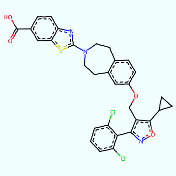 O=C(O)c1ccc2nc(N3CCc4ccc(OCc5c(-c6c(Cl)cccc6Cl)noc5C5CC5)cc4CC3)sc2c1